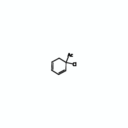 CC(=O)C1(Cl)C=CC=CC1